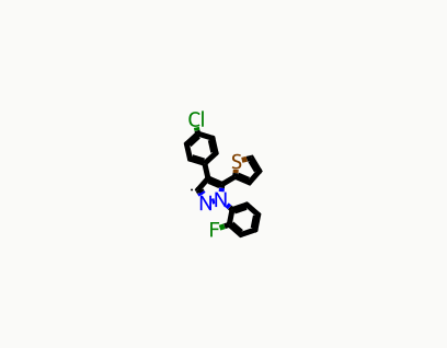 Fc1ccccc1-n1n[c]c(-c2ccc(Cl)cc2)c1-c1cccs1